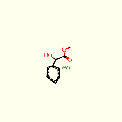 COC(=O)C(O)c1ccccc1.Cl